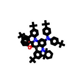 CC(C)(C)c1ccc(N(c2ccc(C(C)(C)C)cc2)c2cc3c4c(c2)N2c5c(cc(C(C)(C)C)cc5C5(C)CCCCC25C)B4c2oc4ccc(C(C)(C)C)cc4c2N3c2ccc(C(C)(C)C)cc2-c2ccccc2)cc1